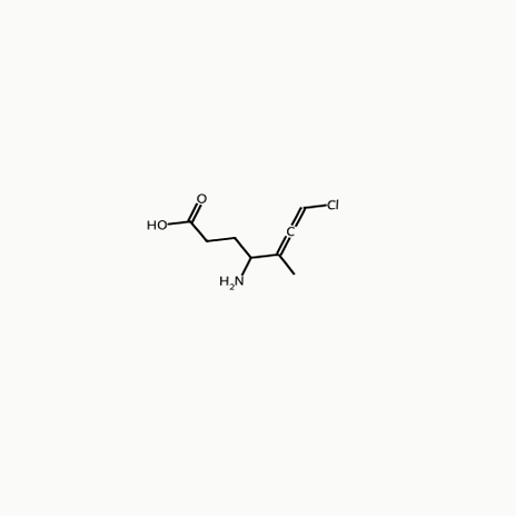 CC(=C=CCl)C(N)CCC(=O)O